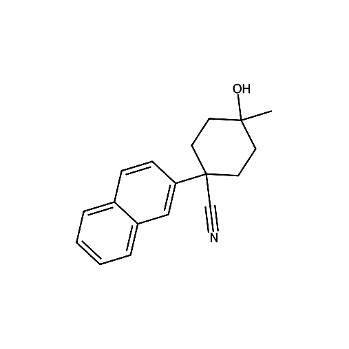 CC1(O)CCC(C#N)(c2ccc3ccccc3c2)CC1